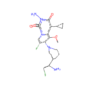 COc1c(N2CCC(C(N)CF)C2)c(F)cn2c(=O)n(N)c(=O)c(C3CC3)c12